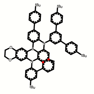 Cc1cc2c3c(c1)N(c1ccc(C(C)(C)C)cc1-c1ccccc1)c1cc4c(cc1B3c1ccc(-c3ccc(C(C)(C)C)cc3)cc1N2c1cc(-c2ccc(C(C)(C)C)cc2)cc(-c2ccc(C(C)(C)C)cc2)c1)OCCO4